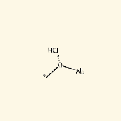 C[O][Al].Cl